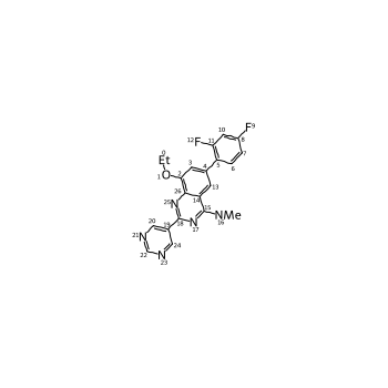 CCOc1cc(-c2ccc(F)cc2F)cc2c(NC)nc(-c3cncnc3)nc12